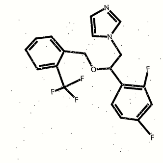 Fc1ccc(C(Cn2ccnc2)OCc2ccccc2C(F)(F)F)c(F)c1